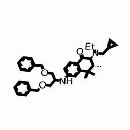 CCN(CC1CC1)[C@@H]1C(=O)c2ccc(NC(COCc3ccccc3)COCc3ccccc3)cc2C(C)(C)[C@H]1C